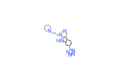 Cn1nnc(-c2ccc3c4c([nH]c3c2)N(CCCN2CCCCC2)CN=C4)n1